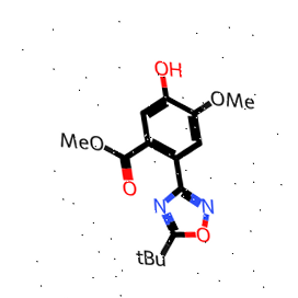 COC(=O)c1cc(O)c(OC)cc1-c1noc(C(C)(C)C)n1